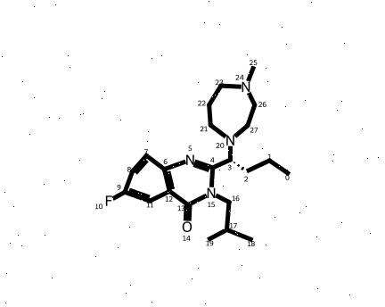 CCC[C@H](c1nc2ccc(F)cc2c(=O)n1CC(C)C)N1CCCN(C)CC1